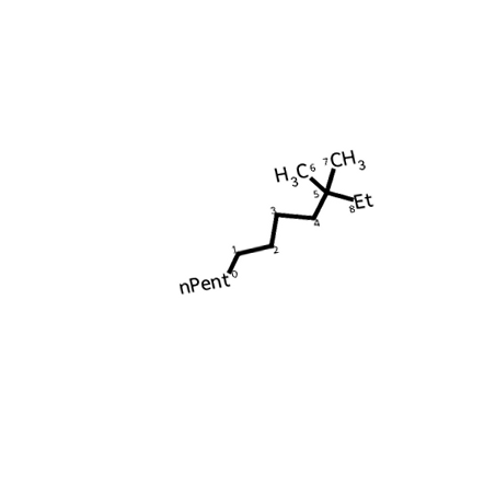 [CH2]CCCCCCCCC(C)(C)CC